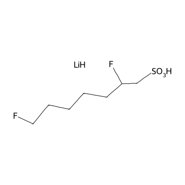 O=S(=O)(O)CC(F)CCCCCF.[LiH]